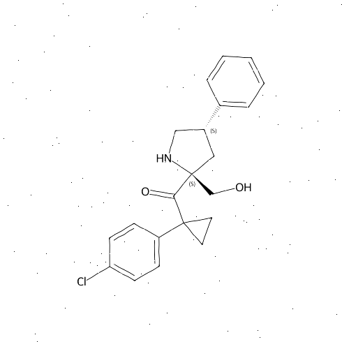 O=C(C1(c2ccc(Cl)cc2)CC1)[C@@]1(CO)C[C@@H](c2ccccc2)CN1